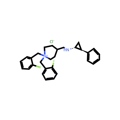 Fc1ccccc1C[N+]1(Cc2ccccc2F)CCC(CN[C@@H]2C[C@H]2c2ccccc2)CC1.[Cl-]